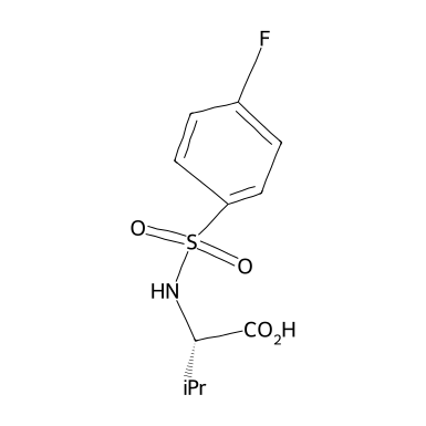 CC(C)[C@H](NS(=O)(=O)c1ccc(F)cc1)C(=O)O